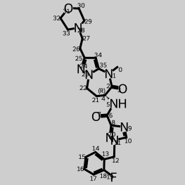 CN1C(=O)[C@H](NC(=O)c2ncn(Cc3ccccc3F)n2)CCn2nc(CCN3CCOCC3)cc21